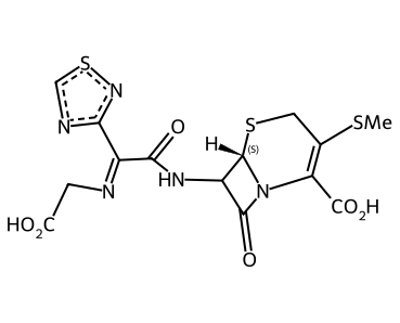 CSC1=C(C(=O)O)N2C(=O)C(NC(=O)C(=NCC(=O)O)c3ncsn3)[C@@H]2SC1